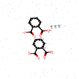 O=C([O-])c1ccccc1C(=O)O.O=C([O-])c1ccccc1C(=O)[O-].[K+].[K+].[K+]